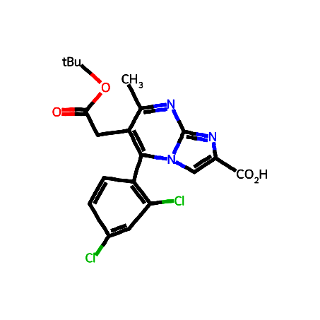 Cc1nc2nc(C(=O)O)cn2c(-c2ccc(Cl)cc2Cl)c1CC(=O)OC(C)(C)C